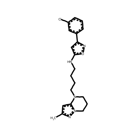 Cc1cc2n(n1)CCCN2CCCCNc1cc(-c2cccc(Cl)c2)no1